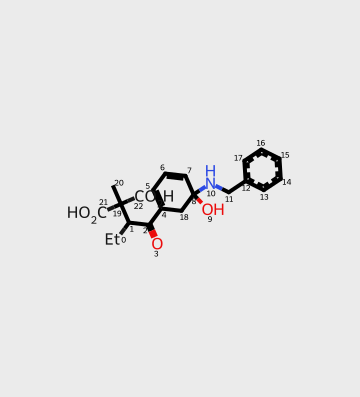 CCC(C(=O)C1=CC=CC(O)(NCc2ccccc2)C1)C(C)(C(=O)O)C(=O)O